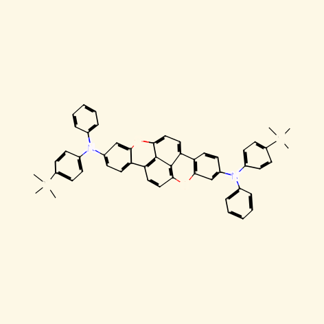 C[Si](C)(C)c1ccc(N(c2ccccc2)c2ccc3c(c2)Oc2ccc4c5c(ccc-3c25)Oc2cc(N(c3ccccc3)c3ccc([Si](C)(C)C)cc3)ccc2-4)cc1